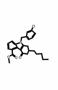 CCCCCC1CC(=O)c2c(n(Cc3cccc(Cl)c3)c3cccc(C(=O)OC)c23)C1